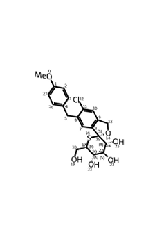 COc1ccc(Cc2cc3c(cc2Cl)CO[C@]32S[C@H](CO)[C@@H](O)[C@H](O)[C@H]2O)cc1